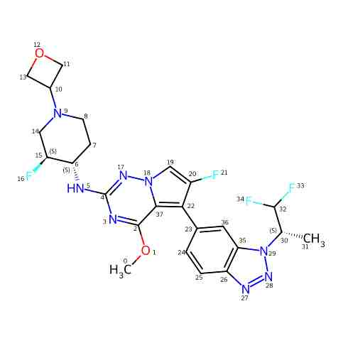 COc1nc(N[C@H]2CCN(C3COC3)C[C@@H]2F)nn2cc(F)c(-c3ccc4nnn([C@@H](C)C(F)F)c4c3)c12